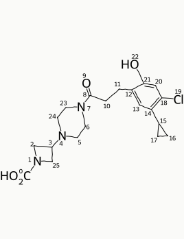 O=C(O)N1CC(N2CCN(C(=O)CCc3cc(C4CC4)c(Cl)cc3O)CC2)C1